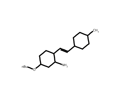 CCCCOC1CCC(C=CC2CCC(C)CC2)C(N)C1